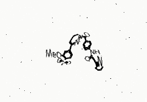 COc1cc(C2=NN(C(=O)c3ccc(NC(=O)c4ccccn4)cc3)CCC2)ccc1S(C)(=O)=O